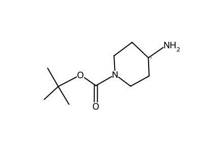 CC(C)(C)OC(=O)N1CC[C](N)CC1